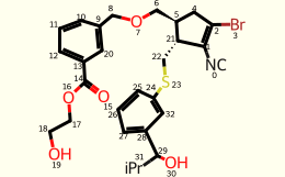 [C-]#[N+]C1=C(Br)C[C@H](COCc2cccc(C(=O)OCCO)c2)[C@H]1CSc1cccc(C(O)C(C)C)c1